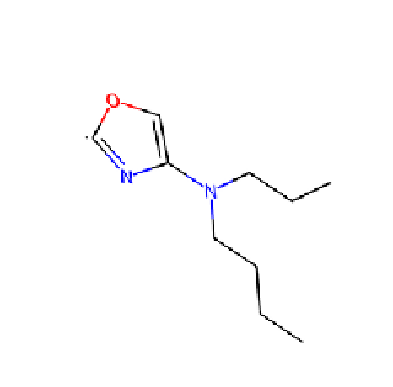 CCCCN(CCC)c1co[c]n1